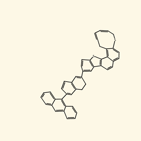 C1=C(c2ccc3sc4c(ccc5ccc6c(c54)C/C=C\C=C/CS6)c3c2)CCc2cc(-c3c4ccccc4cc4ccccc34)ccc21